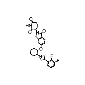 O=C1CCC(N2Cc3cc(O[C@H]4CCCC[C@@H]4N4CC(c5cccc(F)c5F)C4)ccc3C2=O)C(=O)N1